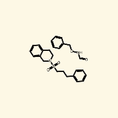 O=CNOCc1ccccc1.O=S(=O)(CCCc1ccccc1)N1CCc2ccccc2C1